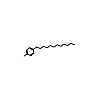 [CH2]CCCCCCCCCCCc1ccc(C)cc1